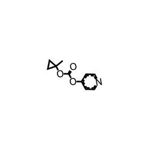 CC1(OC(=O)Oc2ccncc2)CC1